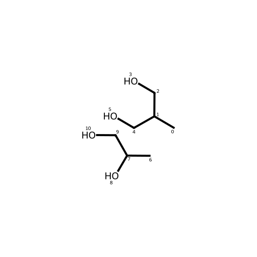 CC(CO)CO.CC(O)CO